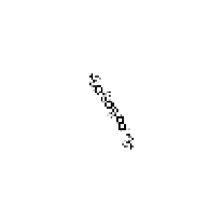 C=CC(=O)OCOc1ccc2cc(C(=O)Oc3ccc(OC(=O)c4ccc(OC(=O)C=C)cc4)cc3)ccc2c1